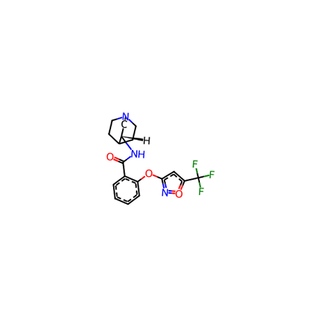 O=C(N[C@H]1CN2CCC1CC2)c1ccccc1Oc1cc(C(F)(F)F)on1